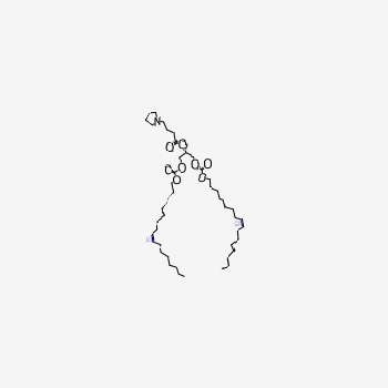 CCCCCCC/C=C\CCCCCCCCOC(=O)OCC(COC(=O)OCCCCCCCC/C=C\CCCCCCC)OC(=O)CCCN1CCCC1